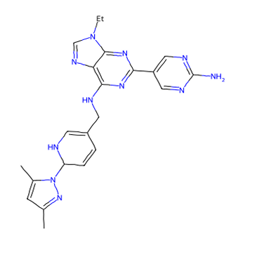 CCn1cnc2c(NCC3=CNC(n4nc(C)cc4C)C=C3)nc(-c3cnc(N)nc3)nc21